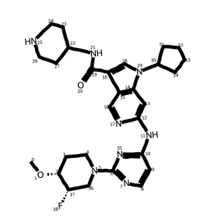 CO[C@@H]1CCN(c2nccc(Nc3cc4c(cn3)c(C(=O)NC3CCNCC3)cn4C3CCCC3)n2)C[C@@H]1F